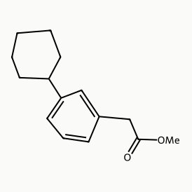 COC(=O)Cc1cccc(C2CCCCC2)c1